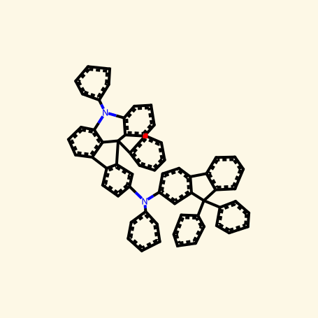 c1ccc(N(c2ccc3c(c2)C(c2ccccc2)(c2ccccc2)c2ccccc2-3)c2ccc3c(c2)C2(c4ccccc4)c4ccccc4N(c4ccccc4)c4cccc-3c42)cc1